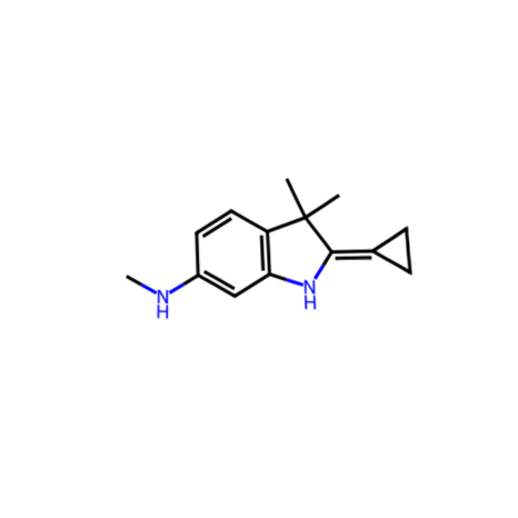 CNc1ccc2c(c1)NC(=C1CC1)C2(C)C